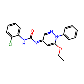 CCOc1c/c(=N/C(=O)Nc2ccccc2Cl)cnn1-c1ccccc1